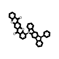 O=c1c2ccccc2oc2cc3c(=O)c4cccc(-n5c6ccccc6c6cc7c(cc65)-c5ccccc5C7c5ccccc5)c4oc3cc12